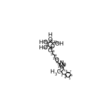 C[C@H](Cc1ccccc1)Cn1cc(COCCCCOC2OC(CO)C(O)C(O)C2O)nn1